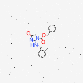 Cc1ccccc1CNC1=NC(=O)CN1C(=O)OCc1ccccc1